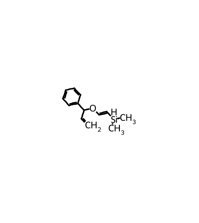 C=CC(OC=C[SiH](C)C)c1ccccc1